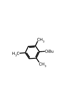 [CH2]C(C)COc1c(C)cc(C)cc1C